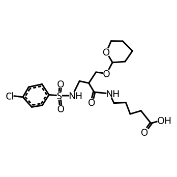 O=C(O)CCCCNC(=O)C(CNS(=O)(=O)c1ccc(Cl)cc1)COC1CCCCO1